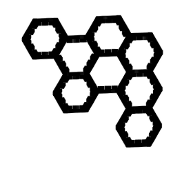 c1ccc2c(c1)cc1ccc3ccc4c5ccccc5c5cccc6c2c1c3c4c56